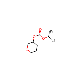 CCC(OC(=O)OC1CCCOC1)C(C)C